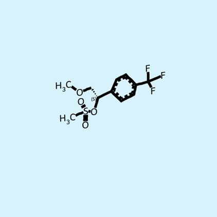 COC[C@@H](OS(C)(=O)=O)c1ccc(C(F)(F)F)cc1